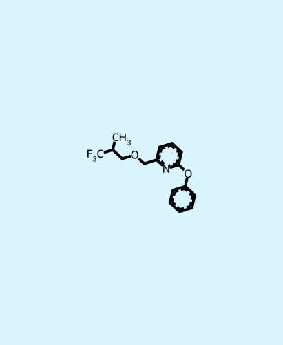 CC(COCc1cccc(Oc2ccccc2)n1)C(F)(F)F